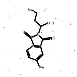 CC(=O)CCC(C=O)N1C(=O)c2ccc(C(C)(C)C)cc2C1=O